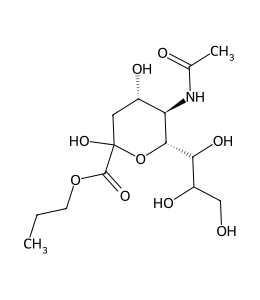 CCCOC(=O)C1(O)C[C@H](O)[C@@H](NC(C)=O)[C@H](C(O)C(O)CO)O1